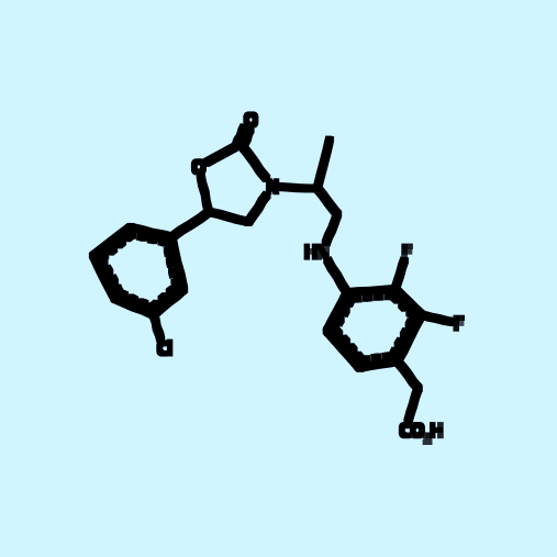 CC(CNc1ccc(CC(=O)O)c(F)c1F)N1CC(c2cccc(Cl)c2)OC1=O